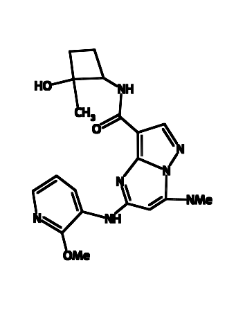 CNc1cc(Nc2cccnc2OC)nc2c(C(=O)NC3CCC3(C)O)cnn12